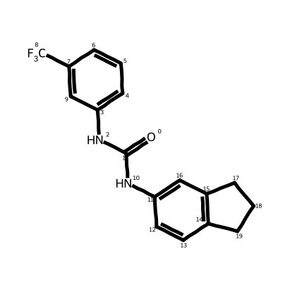 O=C(Nc1cccc(C(F)(F)F)c1)Nc1ccc2c(c1)CCC2